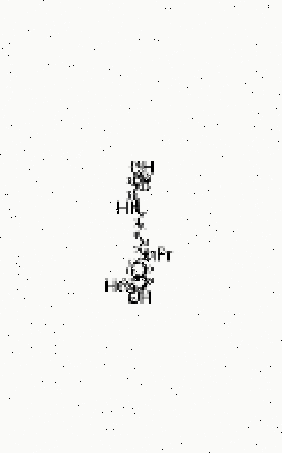 CCCN(CCCCCCNCCc1cc(O)no1)C1CCc2c(ccc(O)c2O)C1